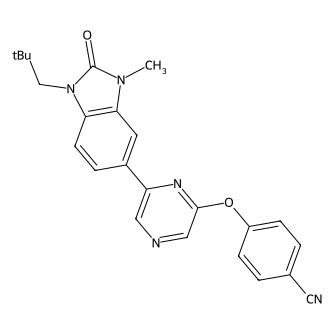 Cn1c(=O)n(CC(C)(C)C)c2ccc(-c3cncc(Oc4ccc(C#N)cc4)n3)cc21